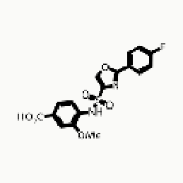 COc1cc(C(=O)O)ccc1NS(=O)(=O)c1coc(-c2ccc(F)cc2)n1